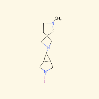 CN1CCC2(C1)CN(C1C3CN(I)CC31)C2